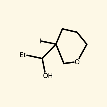 CCC(O)C1(I)CCCOC1